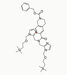 C[Si](C)(C)CCOCn1ccnc1CN(Cc1nccn1COCC[Si](C)(C)C)C(=O)c1ccc2c(c1)CCN(C(=O)OCc1ccccc1)C2